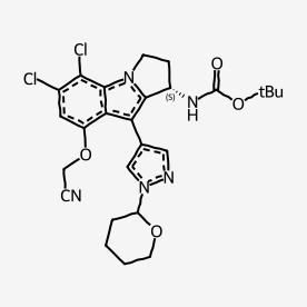 CC(C)(C)OC(=O)N[C@H]1CCn2c1c(-c1cnn(C3CCCCO3)c1)c1c(OCC#N)cc(Cl)c(Cl)c12